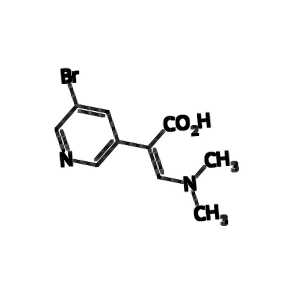 CN(C)/C=C(\C(=O)O)c1cncc(Br)c1